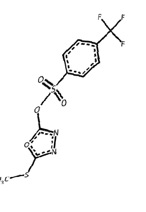 CSc1nnc(OS(=O)(=O)c2ccc(C(F)(F)F)cc2)o1